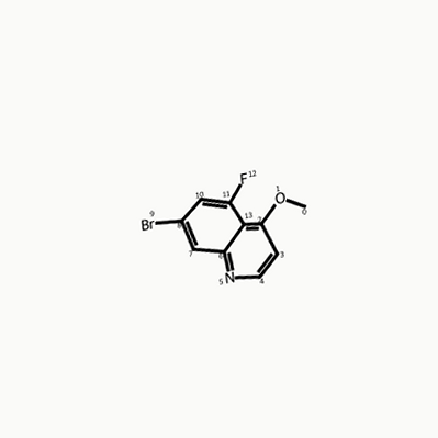 COc1ccnc2cc(Br)cc(F)c12